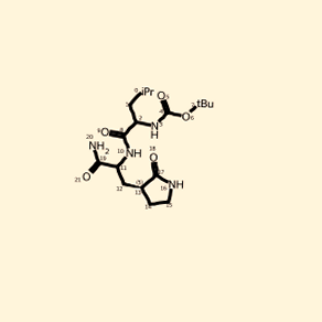 CC(C)CC(NC(=O)OC(C)(C)C)C(=O)NC(C[C@@H]1CCNC1=O)C(N)=O